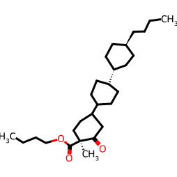 CCCCOC(=O)[C@@]1(C)CCC(C2CCC([C@H]3CC[C@H](CCCC)CC3)CC2)CC1=O